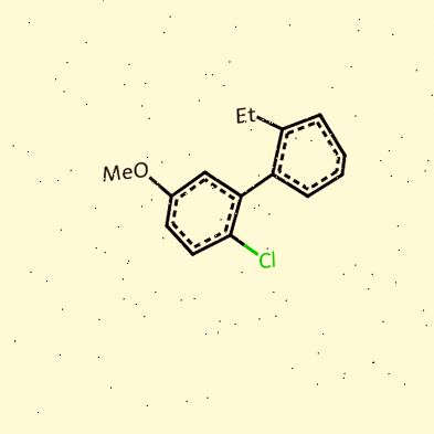 CCc1ccccc1-c1cc(OC)ccc1Cl